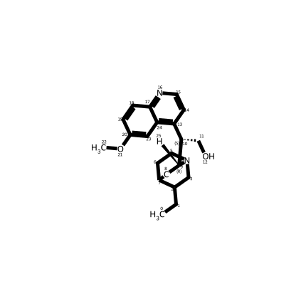 CCC1CN2CCC1C[C@@H]2[C@@H](CO)c1ccnc2ccc(OC)cc12